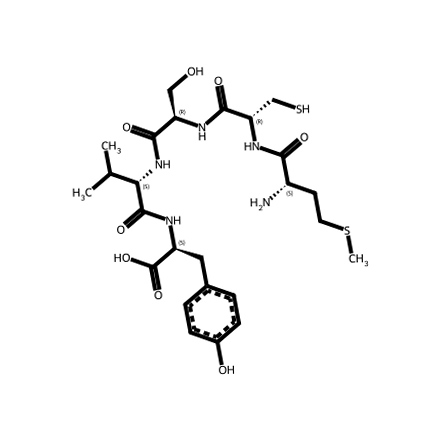 CSCC[C@H](N)C(=O)N[C@@H](CS)C(=O)N[C@H](CO)C(=O)N[C@H](C(=O)N[C@@H](Cc1ccc(O)cc1)C(=O)O)C(C)C